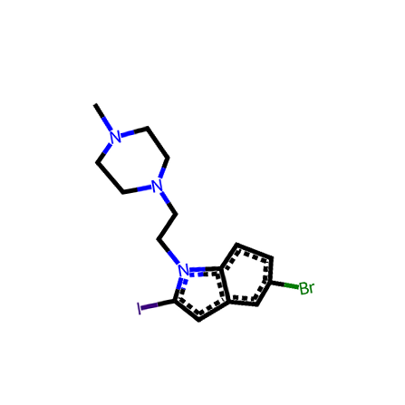 CN1CCN(CCn2c(I)cc3cc(Br)ccc32)CC1